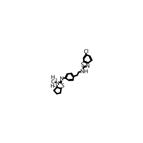 CN1/C(=N/c2ccc(CCNc3nc4ccc(Cl)cc4s3)cc2)SC2CCC[C@H]21